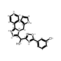 SC(c1noc(-c2cccc(Cl)c2)n1)c1nnc(-c2ccncc2)n1Cc1ccco1